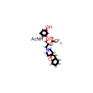 CC(=O)Nc1ccc(O)cc1OC[C@H](CN1CCC2(CC1)Cc1ccccc1O2)OC(=O)C(F)(F)F